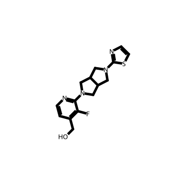 OCc1ccnc(N2CC3CN(c4nccs4)CC3C2)c1F